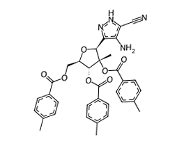 Cc1ccc(C(=O)OC[C@H]2O[C@@H](c3n[nH]c(C#N)c3N)[C@](C)(OC(=O)c3ccc(C)cc3)[C@@H]2OC(=O)c2ccc(C)cc2)cc1